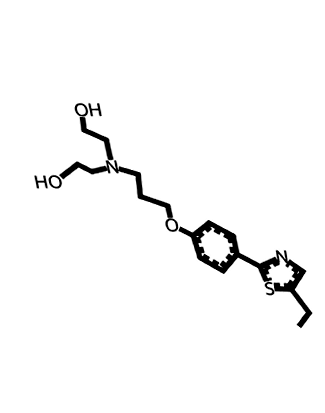 CCc1cnc(-c2ccc(OCCCN(CCO)CCO)cc2)s1